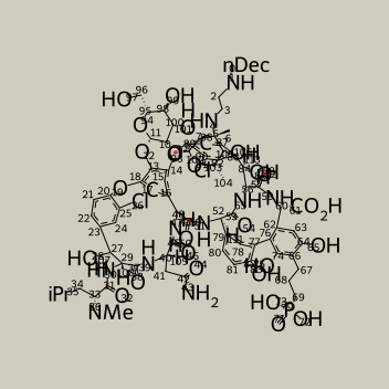 CCCCCCCCCCNCCN[C@@]1(C)C[C@H](O[C@H]2[C@H](Oc3c4cc5cc3Oc3ccc(cc3Cl)[C@H](O)[C@@H](NC(=O)[C@@H](CC(C)C)NC)C(=O)N[C@@H](CC(N)=O)C(=O)N[C@H]5C(=O)N[C@H]3C(=O)N[C@H](C(=O)N[C@H](C(=O)O)c5cc(O)c(CCCP(=O)(O)O)c(O)c5-c5cc3ccc5O)[C@H](O)c3ccc(c(Cl)c3)O4)O[C@H](CO)[C@@H](O)[C@@H]2O)O[C@@H](C)[C@H]1O